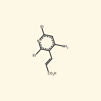 CCc1cc(N)c(/C=C/C(=O)O)c(CC)n1